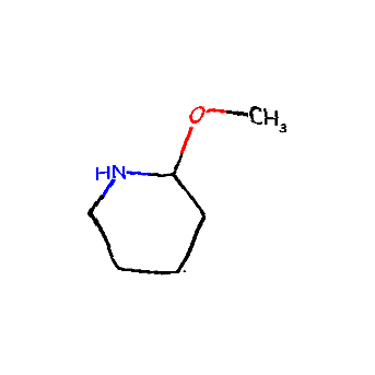 COC1C[CH]CCN1